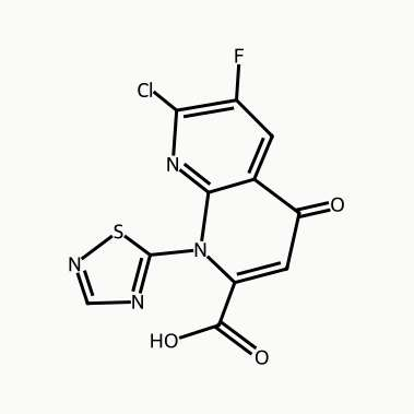 O=C(O)c1cc(=O)c2cc(F)c(Cl)nc2n1-c1ncns1